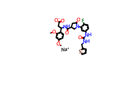 COc1ccc(C(CC(=O)[O-])NC(=O)C2CC(=O)N(c3cc(NC(=O)NCc4cccs4)ccc3F)C2)c(OC)c1.[Na+]